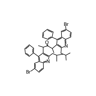 CC(C)Cc1nc2ccc(Br)cc2c(-c2ccccc2)c1C(C)C(=O)C(C)c1c(CC(C)C)nc2ccc(Br)cc2c1-c1ccccc1